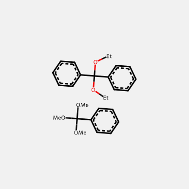 CCOC(OCC)(c1ccccc1)c1ccccc1.COC(OC)(OC)c1ccccc1